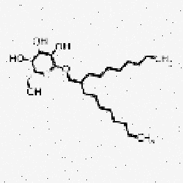 CCCCCCCCC(CCCCCCCC)COC1O[C@H](CO)[C@@H](O)[C@H](O)[C@H]1O